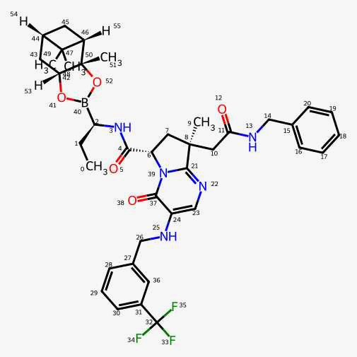 CC[C@H](NC(=O)[C@@H]1C[C@@](C)(CC(=O)NCc2ccccc2)c2ncc(NCc3cccc(C(F)(F)F)c3)c(=O)n21)B1O[C@@H]2C[C@@H]3C[C@@H](C3(C)C)[C@]2(C)O1